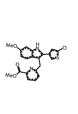 COC(=O)c1cccc(Cc2c(-c3csc(Cl)c3)[nH]c3cc(OC)ccc23)n1